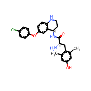 Cc1cc(O)cc(C)c1C[C@H](N)C(=O)N[C@@H]1CCNc2ccc(Oc3ccc(Cl)cc3)cc21